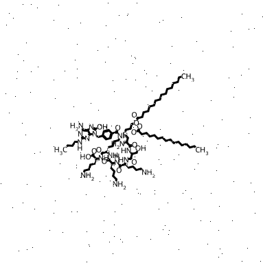 CCCCCCCCCCCCCCCC(=O)OCC(CSC[C@H](N)C(=O)NC(CO)C(=O)N[C@@H](CCCCN)C(=O)N[C@@H](CCCCN)C(=O)N[C@@H](CCCCNC(=O)c1ccc(Cn2c(O)nc3c(N)nc(NCCCC)nc32)cc1)C(=O)N[C@@H](CCCCN)C(=O)O)OC(=O)CCCCCCCCCCCCCCC